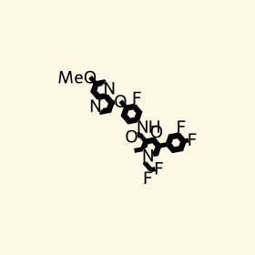 COc1cnc2c(Oc3ccc(NC(=O)c4c(C)n(CC(F)F)cc(-c5ccc(F)c(F)c5)c4=O)cc3F)ccnc2c1